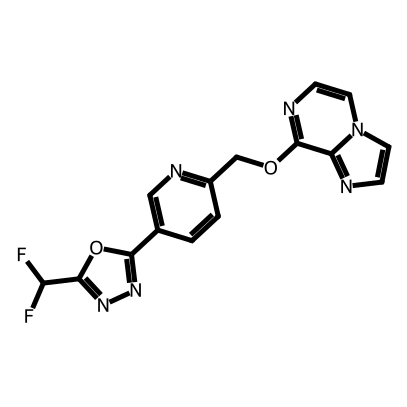 FC(F)c1nnc(-c2ccc(COc3nccn4ccnc34)nc2)o1